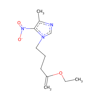 C=C(CCCn1cnc(C)c1[N+](=O)[O-])OCC